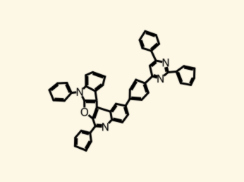 c1ccc(-c2cc(-c3ccc(-c4ccc5nc(-c6ccccc6)c6oc7c(c8ccccc8n7-c7ccccc7)c6c5c4)cc3)nc(-c3ccccc3)n2)cc1